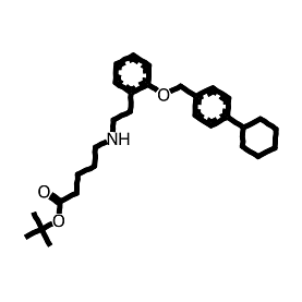 CC(C)(C)OC(=O)CCCCNCCc1ccccc1OCc1ccc(C2CCCCC2)cc1